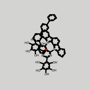 Oc1c(O)c(O)c(-c2nc(-c3c(O)c(O)c(O)c(O)c3O)nc(-n3c4ccccc4c4ccc5c6ccccc6n(-c6ccccc6-c6cccc(-c7ccc(-c8ccccc8)cc7)c6)c5c43)n2)c(O)c1O